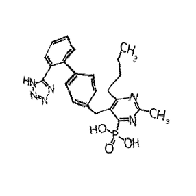 CCCCc1nc(C)nc(P(=O)(O)O)c1Cc1ccc(-c2ccccc2-c2nnn[nH]2)cc1